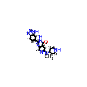 CN(c1cc2c(=O)[nH]c(-c3ccc4nn[nH]c4c3)nc2cn1)C1CCNCC1